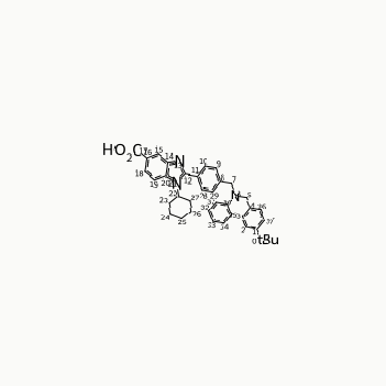 CC(C)(C)c1ccc(CN(Cc2ccc(-c3nc4cc(C(=O)O)ccc4n3C3CCCCC3)cc2)c2ccccc2)cc1